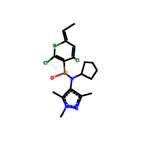 C\C=C(Br)/C=C(Cl)\C(=C(/C)Cl)[S+]([O-])N(c1c(C)nn(C)c1C)C1CCCC1